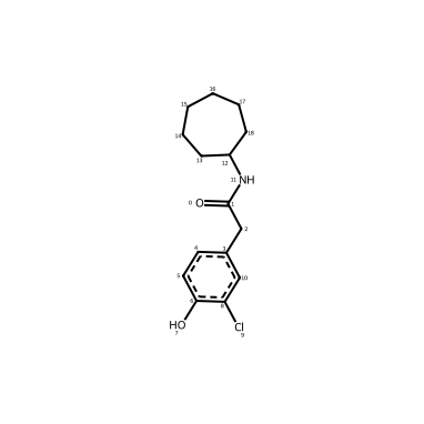 O=C(Cc1ccc(O)c(Cl)c1)NC1CCCCCC1